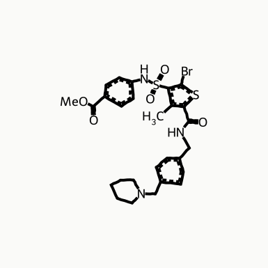 COC(=O)c1ccc(NS(=O)(=O)c2c(Br)sc(C(=O)NCc3ccc(CN4CCCCC4)cc3)c2C)cc1